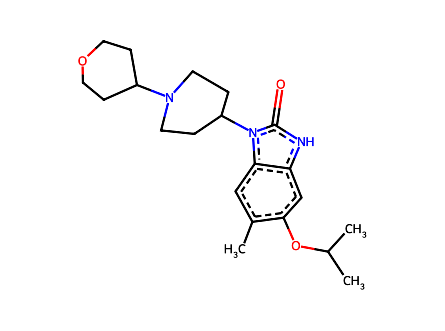 Cc1cc2c(cc1OC(C)C)[nH]c(=O)n2C1CCN(C2CCOCC2)CC1